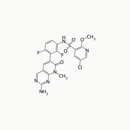 COc1ncc(Cl)cc1S(=O)(=O)Nc1ccc(F)c(-c2cc3cnc(N)nc3n(C)c2=O)c1F